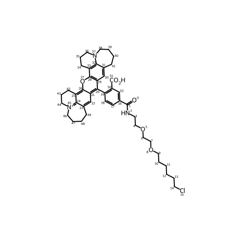 O=C(NCCOCCOCCCCCCCl)c1ccc(C2=c3cc4c5c(c3Oc3c2cc2c6c3CCCN6CCCC2)CCC[N+]=5CCCC4)c(C(=O)O)c1